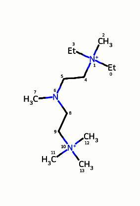 CC[N+](C)(CC)CCN(C)CC[N+](C)(C)C